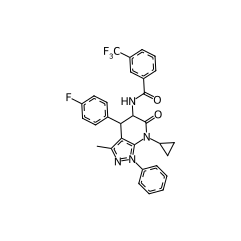 Cc1nn(-c2ccccc2)c2c1C(c1ccc(F)cc1)C(NC(=O)c1cccc(C(F)(F)F)c1)C(=O)N2C1CC1